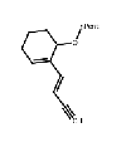 C#CC=CC1=CCCCC1OCCCCC